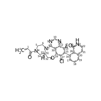 C=CC(=O)N1CCN2c3ncnc4c(F)c(-c5cccc6cc[nH]c(=O)c56)c(Cl)c(c34)OC[C@@H]2C1